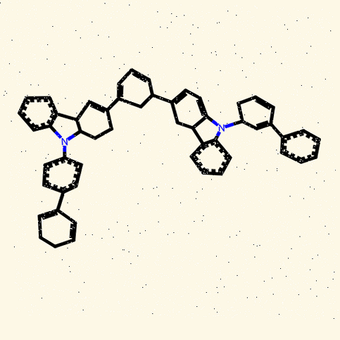 C1=CC(C2=CC=C3C(C2)c2ccccc2N3C2C=C(c3ccccc3)C=CC2)CC(C2=CC3c4ccccc4N(c4ccc(C5=CCCC=C5)cc4)C3CC2)=C1